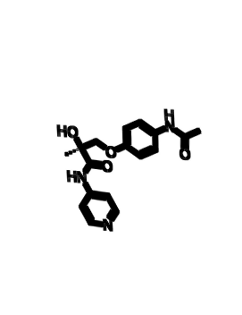 CC(=O)Nc1ccc(OC[C@](C)(O)C(=O)Nc2ccncc2)cc1